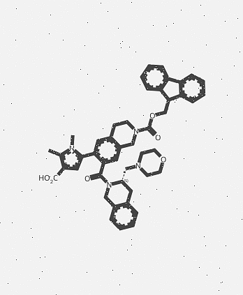 Cc1c(C(=O)O)cc(-c2cc3c(cc2C(=O)N2Cc4ccccc4C[C@H]2CN2CCOCC2)CN(C(=O)OCC2c4ccccc4-c4ccccc42)CC3)n1C